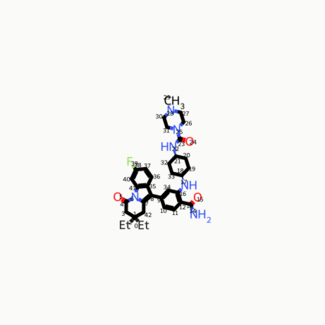 CCC1(CC)CC(=O)n2c(c(-c3ccc(C(N)=O)c(N[C@H]4CC[C@H](NC(=O)N5CCN(C)CC5)CC4)c3)c3ccc(F)cc32)C1